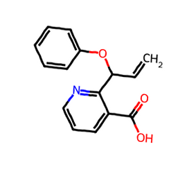 C=CC(Oc1ccccc1)c1ncccc1C(=O)O